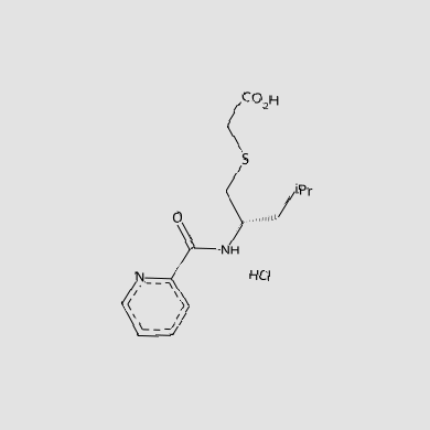 CC(C)C[C@@H](CSCC(=O)O)NC(=O)c1ccccn1.Cl